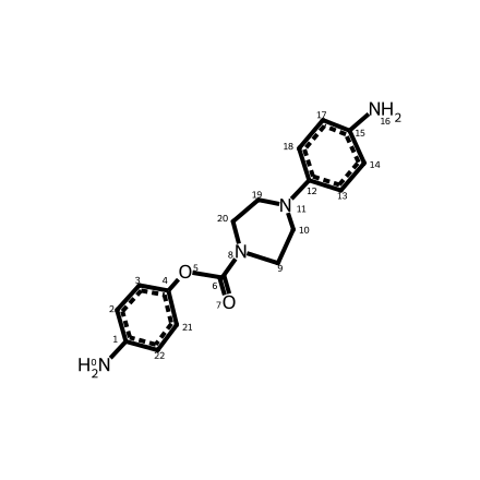 Nc1ccc(OC(=O)N2CCN(c3ccc(N)cc3)CC2)cc1